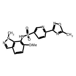 COc1ccc2cnn(C)c2c1NS(=O)(=O)c1ccc(-c2noc(C)n2)nc1